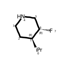 CC(C)[C@H]1CCNC[C@@H]1F